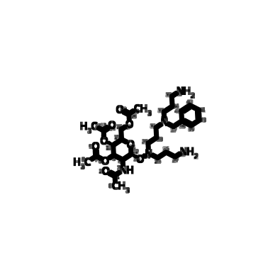 CC(=O)NC1C(OC(C)=O)[C@@H](OC(C)=O)C(COC(C)=O)O[C@H]1ON(CCCN)CCCN(CCCN)Cc1ccccc1